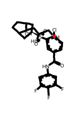 O=C(Nc1cc(F)c(F)c(F)c1)c1ccc(Cl)c(S(=O)(=O)[C@H]2CC3CCC(C2)[C@]3(O)CC(O)CO)c1